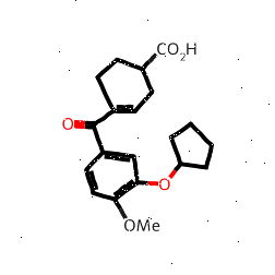 COc1ccc(C(=O)C2=CCC(C(=O)O)CC2)cc1OC1CCCC1